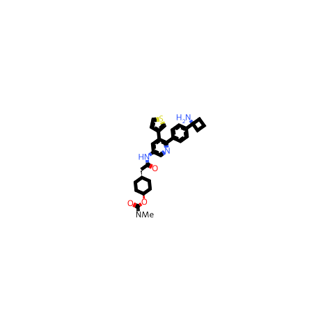 CNC(=O)O[C@H]1CC[C@H](CC(=O)Nc2cnc(-c3ccc(C4(N)CCC4)cc3)c(-c3ccsc3)c2)CC1